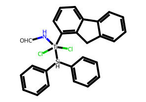 O=C[NH][Ti]([Cl])([Cl])([c]1cccc2c1Cc1ccccc1-2)[SiH](c1ccccc1)c1ccccc1